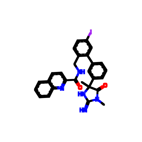 CN1C(=N)NC(C)(c2cccc(-c3cc(I)ccc3CNC(=O)c3ccc4ccccc4n3)c2)C1=O